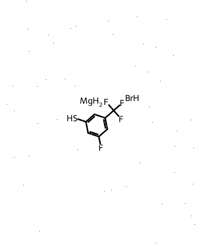 Br.Fc1cc(S)cc(C(F)(F)F)c1.[MgH2]